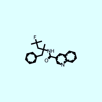 CC(C)(F)CC(C)(Cc1ccccc1)NC(=O)c1cnc2ccccc2c1